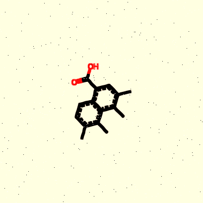 Cc1ccc2c(C(=O)O)cc(C)c(C)c2c1C